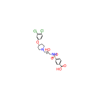 O=C(O)c1ccc(S(=O)(=O)NC[C@H](O)CN2CCC(Oc3ccc(Cl)c(Cl)c3)CC2)cc1